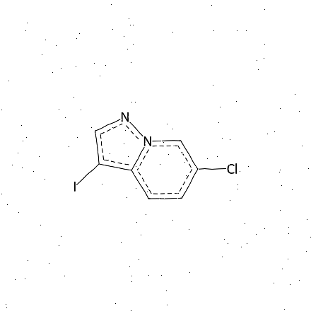 Clc1ccc2c(I)cnn2c1